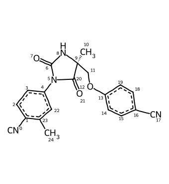 [C-]#[N+]c1ccc(N2C(=O)N[C@@](C)(COc3ccc(C#N)cc3)C2=O)cc1C